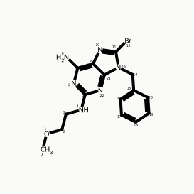 COCCNc1nc(N)c2nc(Br)n(Cc3ccccc3)c2n1